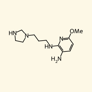 COc1ccc(N)c(NCCCN2CCNC2)n1